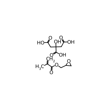 C=C(C)C(=O)OCC1CO1.O=C(O)CC(O)(CC(=O)O)C(=O)O